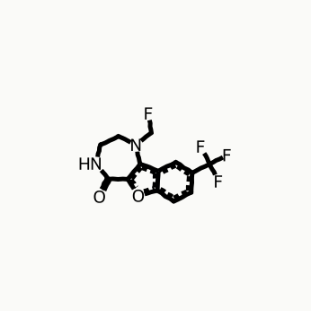 O=C1NCCN(CF)c2c1oc1ccc(C(F)(F)F)cc21